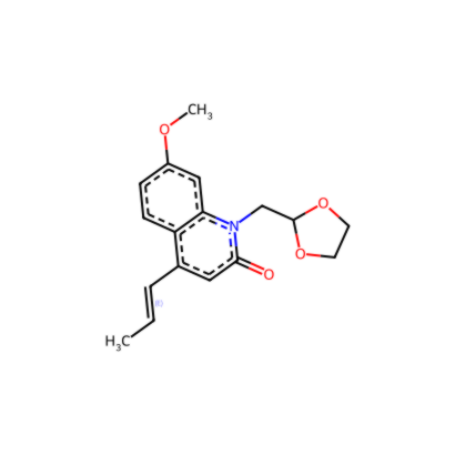 C/C=C/c1cc(=O)n(CC2OCCO2)c2cc(OC)ccc12